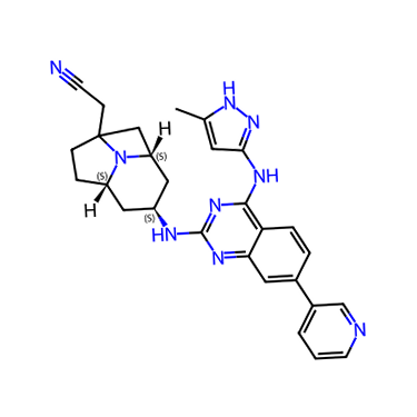 Cc1cc(Nc2nc(N[C@H]3C[C@@H]4CCC5(CC#N)C[C@H](C3)N45)nc3cc(-c4cccnc4)ccc23)n[nH]1